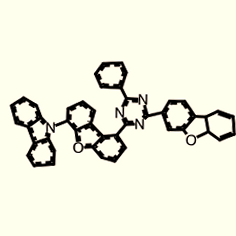 C1=CC2Oc3cc(-c4nc(-c5ccccc5)nc(-c5cccc6oc7c(-n8c9ccccc9c9ccccc98)cccc7c56)n4)ccc3C2C=C1